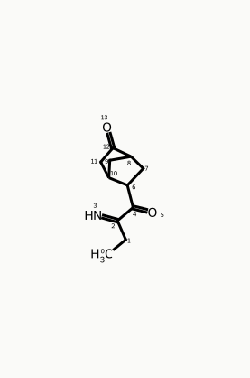 CCC(=N)C(=O)C1CC2CC1CC2=O